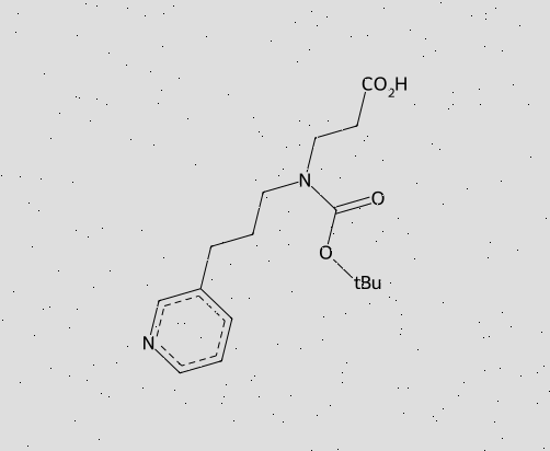 CC(C)(C)OC(=O)N(CCCc1cccnc1)CCC(=O)O